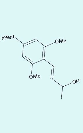 CCCCCc1cc(OC)c(C=CC(C)O)c(OC)c1